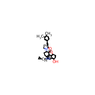 Cc1ccc(C#CC(=O)N(CC(C)C)[C@@H]2CC[C@H]3[C@H]4Cc5c(O)ccc6c5[C@@]3(CCN4CC3CC3)[C@H]2O6)cc1C